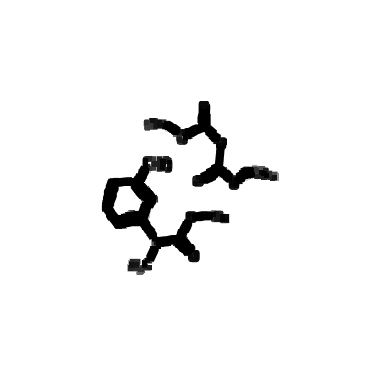 CC(C)(C)OC(=O)OC(=O)OC(C)(C)C.CN(C(=O)OC(C)(C)C)c1cccc(C=O)c1